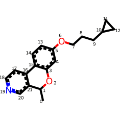 CC1Oc2cc(OCCCC3CC3)ccc2-c2ccncc21